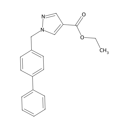 CCOC(=O)c1cnn(Cc2ccc(-c3ccccc3)cc2)c1